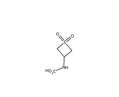 O=C(O)NC1CS(=O)(=O)C1